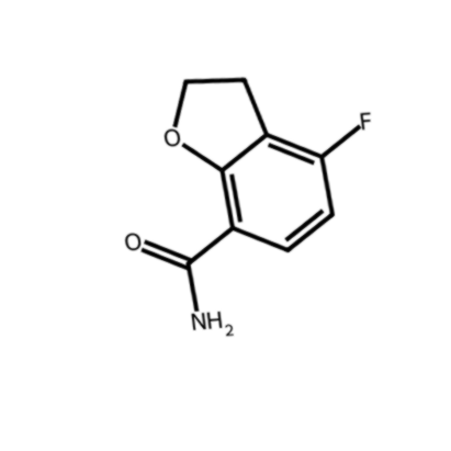 NC(=O)c1ccc(F)c2c1OCC2